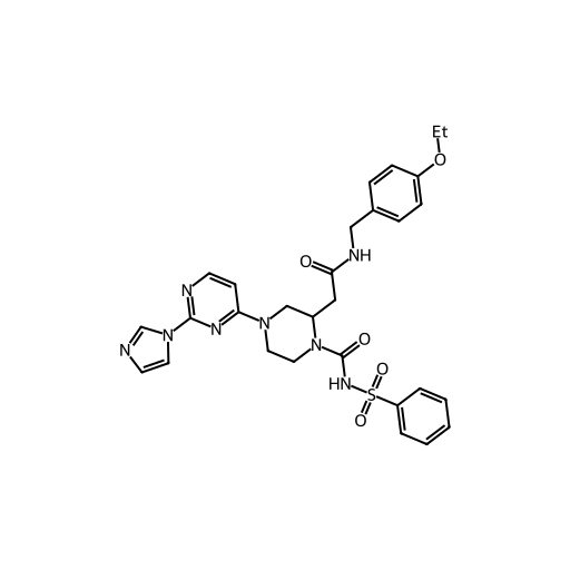 CCOc1ccc(CNC(=O)CC2CN(c3ccnc(-n4ccnc4)n3)CCN2C(=O)NS(=O)(=O)c2ccccc2)cc1